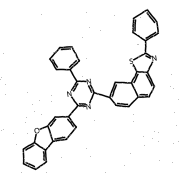 c1ccc(-c2nc(-c3ccc4c(c3)oc3ccccc34)nc(-c3ccc4ccc5nc(-c6ccccc6)sc5c4c3)n2)cc1